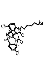 CC(c1ccc(Cl)cc1)n1nnc2c1NC(=O)C[C@]21C(=O)N(CCCCCCBr)c2ccc(Cl)cc21